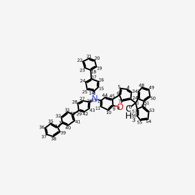 CC1(c2cccc3c2oc2ccc(N(c4ccc(-c5ccccc5)cc4)c4ccc(-c5ccc(-c6ccccc6)cc5)cc4)cc23)c2ccccc2-c2ccccc21